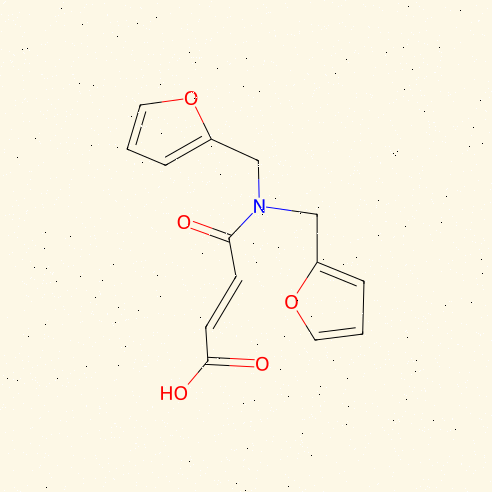 O=C(O)C=CC(=O)N(Cc1ccco1)Cc1ccco1